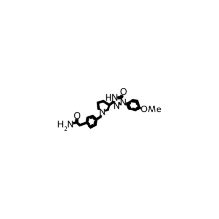 COc1ccc(-n2nc(C3CCCN(Cc4ccc(CC(N)=O)cc4)C3)[nH]c2=O)cc1